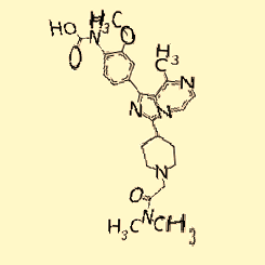 COc1cc(-c2nc(C3CCN(CC(=O)N(C)C)CC3)n3ccnc(C)c23)ccc1NC(=O)O